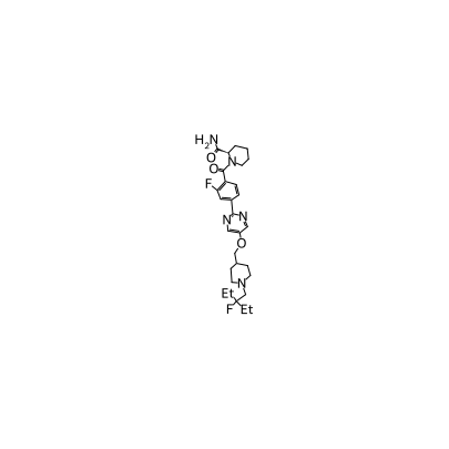 CCC(F)(CC)CN1CCC(COc2cnc(-c3ccc(C(=O)N4CCCC[C@@H]4C(N)=O)c(F)c3)nc2)CC1